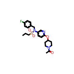 CCCS(=O)(=O)N(Cc1ccc(F)cc1)c1ccc(OC2CCN(C(C)=O)CC2)nc1